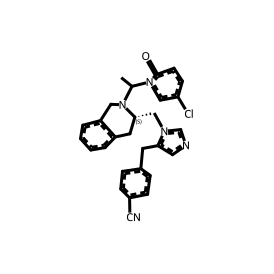 CC(N1Cc2ccccc2C[C@H]1Cn1cncc1Cc1ccc(C#N)cc1)n1cc(Cl)ccc1=O